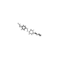 CCOc1ccc(CC[C@H]2CC[C@H](C#CC#N)CC2)cc1